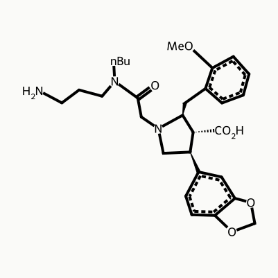 CCCCN(CCCN)C(=O)CN1C[C@H](c2ccc3c(c2)OCO3)[C@@H](C(=O)O)[C@@H]1Cc1ccccc1OC